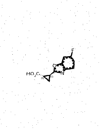 O=C(O)[C@H]1C[C@@H]1c1nc2ccc(F)cc2o1